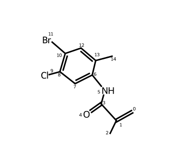 C=C(C)C(=O)Nc1cc(Cl)c(Br)cc1C